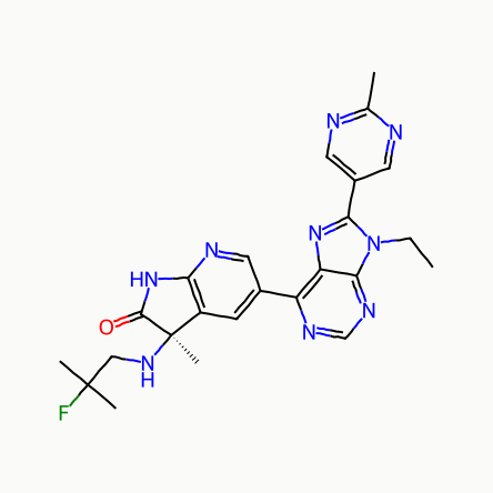 CCn1c(-c2cnc(C)nc2)nc2c(-c3cnc4c(c3)[C@@](C)(NCC(C)(C)F)C(=O)N4)ncnc21